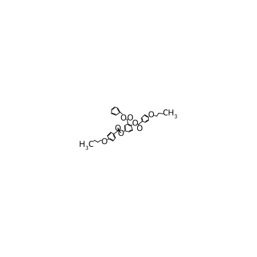 CCCCOc1ccc(C(=O)Oc2ccc(OC(=O)c3ccc(OCCCC)cc3)c(C(=O)OCc3ccccc3)c2)cc1